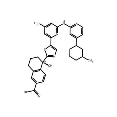 Cc1cc(Nc2cc(C3CCCC(C)C3)ccn2)nc(-c2cnc([C@@]3(O)CCCc4cc(C(=O)O)ccc43)s2)c1